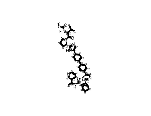 COC(=O)N[C@H](C(=O)N1CCC[C@H]1c1ncc(-c2ccc(-c3ccc(-c4cnc([C@H]5C6CCC(C6)[C@@H]5C(=O)NC(C)c5cccnc5)[nH]4)cc3)cc2)[nH]1)C(C)C